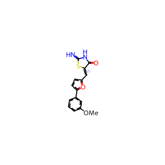 COc1cccc(-c2ccc(/C=C3\SC(=N)NC3=O)o2)c1